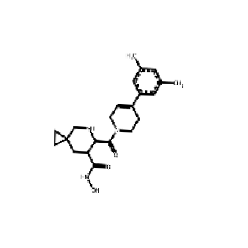 Cc1cc(C)cc(C2=CCN(C(=O)C3NCC4(CC4)CC3C(=O)NO)CC2)c1